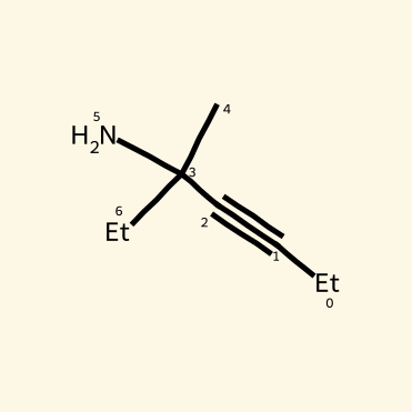 CCC#CC(C)(N)CC